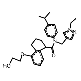 CCn1cc(CN(C(=O)C2CCCc3c(OCCO)cccc32)c2ccc(C(C)C)cc2)cn1